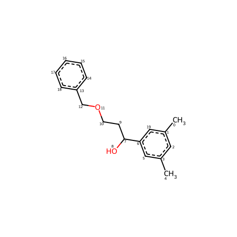 Cc1cc(C)cc(C(O)CCOCc2ccccc2)c1